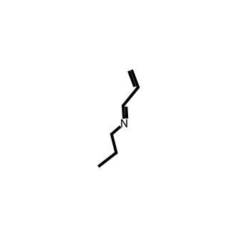 C=CC=NCCC